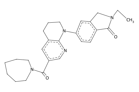 CCN1Cc2cc(N3CCCc4cc(C(=O)N5CCCCCC5)cnc43)ccc2C1=O